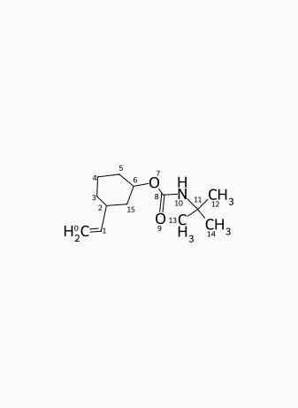 C=CC1CCCC(OC(=O)NC(C)(C)C)C1